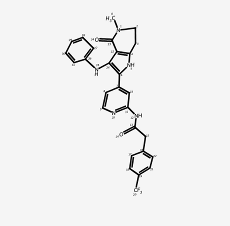 CN1CCc2[nH]c(-c3ccnc(NC(=O)Cc4ccc(C(F)(F)F)cc4)c3)c(Nc3ccccc3)c2C1=O